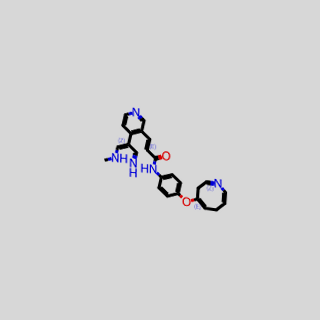 CN/C=C(\C=N)c1ccncc1/C=C/C(=O)Nc1ccc(O/C2=C/CC=C/N=C\C2)cc1